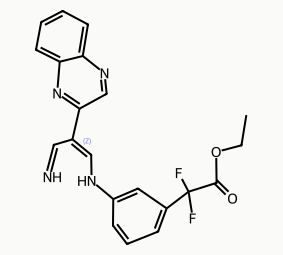 CCOC(=O)C(F)(F)c1cccc(N/C=C(\C=N)c2cnc3ccccc3n2)c1